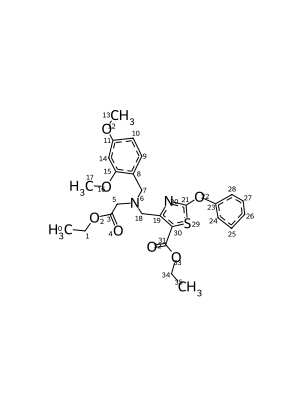 CCOC(=O)CN(Cc1ccc(OC)cc1OC)Cc1nc(Oc2ccccc2)sc1C(=O)OCC